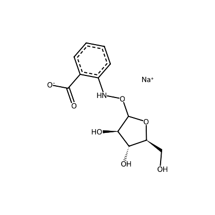 O=C([O-])c1ccccc1NOC1O[C@@H](CO)[C@H](O)[C@H]1O.[Na+]